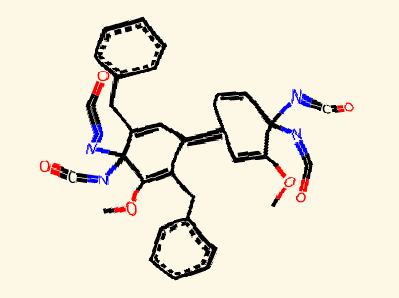 COC1=CC(=C2C=C(Cc3ccccc3)C(N=C=O)(N=C=O)C(OC)=C2Cc2ccccc2)C=CC1(N=C=O)N=C=O